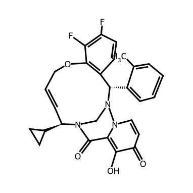 Cc1ccccc1[C@H]1c2ccc(F)c(F)c2OC/C=C/[C@H](C2CC2)N2CN1n1ccc(=O)c(O)c1C2=O